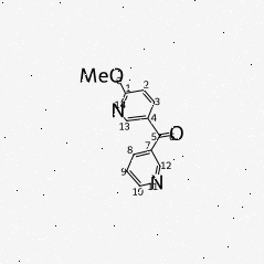 COc1ccc(C(=O)c2cccnc2)cn1